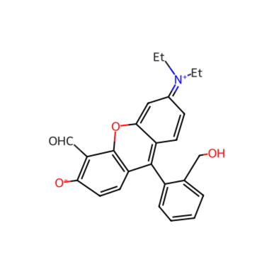 CC[N+](CC)=c1ccc2c(-c3ccccc3CO)c3ccc([O-])c(C=O)c3oc-2c1